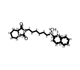 CN(CCCCCCN1C(=O)C2CCCCN2C1=O)c1ccc2ccccc2n1